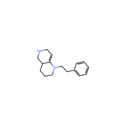 C1=C2C(CCCN2CCc2ccccc2)CNC1